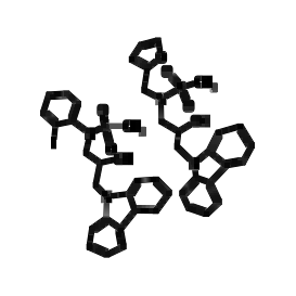 CS(=O)(=O)N(CC(O)Cn1c2ccccc2c2ccccc21)c1ccccc1I.CS(=O)(=O)N(Cc1ccco1)CC(O)Cn1c2ccccc2c2ccccc21